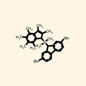 CC1=C(C)C([Si](C)(C)C2c3cc(C(C)(C)C)ccc3-c3ccc(C(C)(C)C)cc32)c2c(C)c(C)c(C)c(C)c21